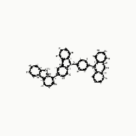 c1ccc2c(-c3ccc(-n4c5ccccc5c5cc(-c6cccc7c6sc6ccccc67)ccc54)cc3)c3ccccc3cc2c1